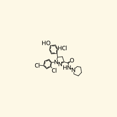 Cl.O=C(NN1CCCCC1)C1=NN(c2ccc(Cl)cc2Cl)C(c2ccc(O)cc2)C1